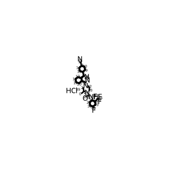 CC1CN(c2nnc(-c3ccc(C#N)cc3)c3ccccc23)CCN1C(=O)Nc1ccc(F)cc1C(F)(F)F.Cl